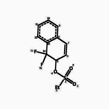 CCS(=O)(=O)OC1C=Cc2ccccc2C1(F)F